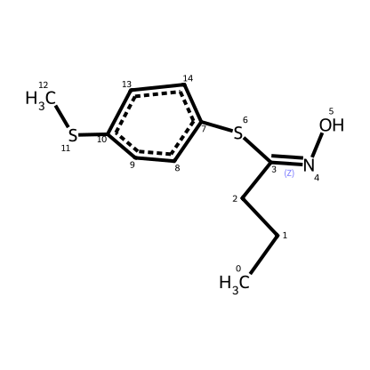 CCC/C(=N/O)Sc1ccc(SC)cc1